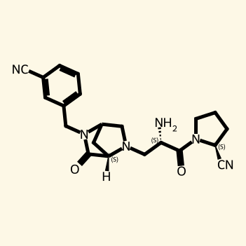 N#Cc1cccc(CN2C(=O)[C@@H]3CC2CN3C[C@H](N)C(=O)N2CCC[C@H]2C#N)c1